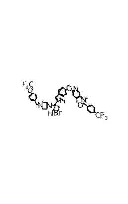 Br.Cc1cc(Oc2ccc3cc(C(=O)N4CCN(Cc5ccc(OCC(F)(F)F)cc5)CC4)n(C)c3c2)ncc1N(C)C(=O)c1ccc(C(F)(F)F)cc1